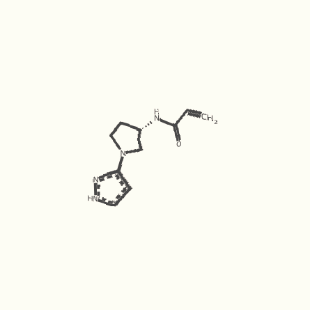 C=CC(=O)N[C@H]1CCN(c2cc[nH]n2)C1